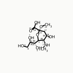 CN[C@H]1C([C@H](O)[C@H](O)CO)O[C@@](OC)(C(=O)O)C[C@H]1O